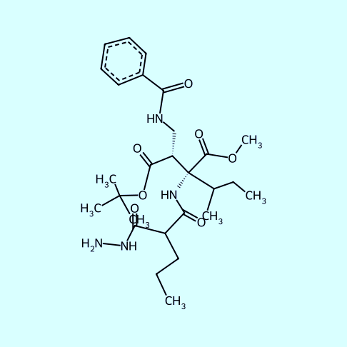 CCCC(C(=O)NN)C(=O)N[C@](C(=O)OC)(C(C)CC)[C@@H](CNC(=O)c1ccccc1)C(=O)OC(C)(C)C